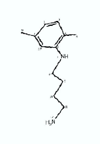 Cc1ccc(C)c(NCCCCN)c1